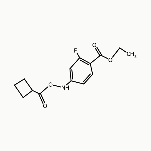 CCOC(=O)c1ccc(NOC(=O)C2CCC2)cc1F